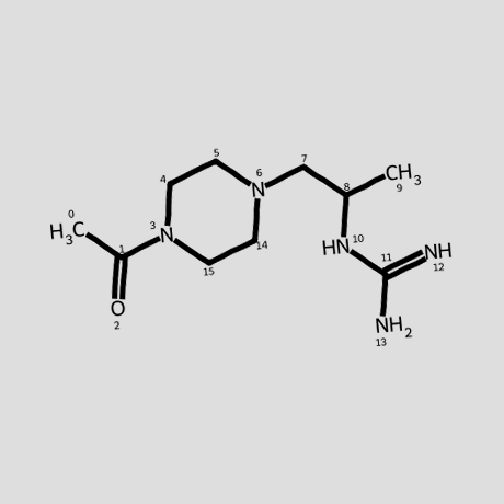 CC(=O)N1CCN(CC(C)NC(=N)N)CC1